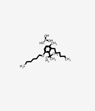 CCCCCCOc1ccc(C)c(CCCCCC)c1C(C)(C)C.OP(O)O